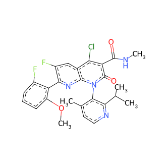 CNC(=O)c1c(Cl)c2cc(F)c(-c3c(F)cccc3OC)nc2n(-c2c(C)ccnc2C(C)C)c1=O